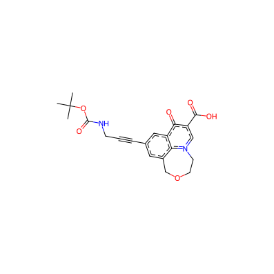 CC(C)(C)OC(=O)NCC#Cc1cc2c3c(c1)c(=O)c(C(=O)O)cn3CCOC2